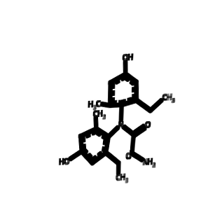 CCc1cc(O)cc(C)c1N(C(=O)C(N)=O)c1c(C)cc(O)cc1CC